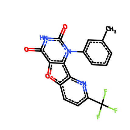 Cc1cccc(-n2c(=O)[nH]c(=O)c3oc4ccc(C(F)(F)F)nc4c32)c1